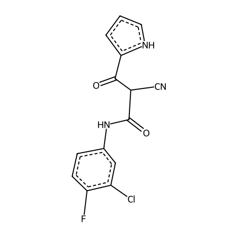 N#CC(C(=O)Nc1ccc(F)c(Cl)c1)C(=O)c1ccc[nH]1